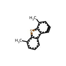 Cc1cc#cc2c1sc1c(C)cccc12